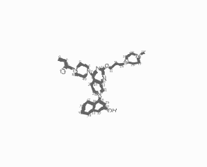 C=CC(=O)N1CCN(c2nc(OCCCN3CCN(C)CC3)nc3c2CCN(c2cc(O)cc4ccccc24)C3)CC1